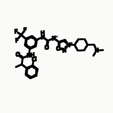 CC(C(=O)Nc1cc(NC(=O)[N-]c2c[n+](C3CCC(CN(C)C)CC3)no2)cc(C(F)(F)F)c1)c1ccccc1Cl